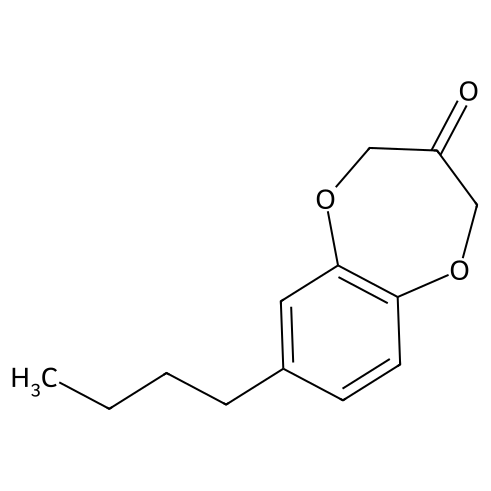 CCCCc1ccc2c(c1)OCC(=O)CO2